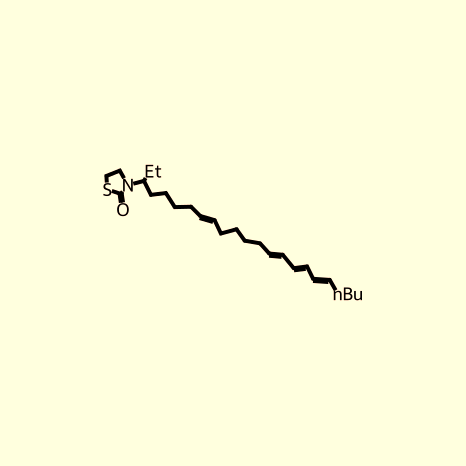 CCCCC=CC=CC=CCCCCC=CCCCCC(CC)N1CCSC1=O